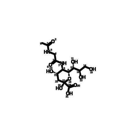 CC(=O)NCC(=O)N[C@H]1[C@H]([C@H](O)[C@H](O)CO)O[C@](O)(C(=O)O)C[C@@H]1O